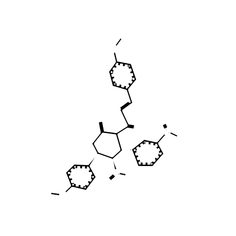 COc1ccc(/C=C/C(=O)C2C(=O)C[C@H](c3ccc(OC)cc3)[C@H]([N+](=O)[O-])[C@H]2c2cccc([N+](=O)[O-])c2)cc1